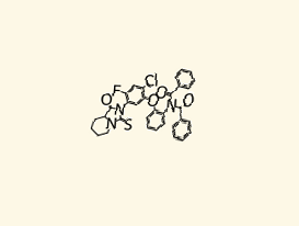 O=C1C2CCCCN2C(=S)N1c1cc(Oc2ccccc2N(C(=O)c2ccccc2)C(=O)c2ccccc2)c(Cl)cc1F